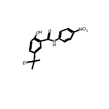 CCC(C)(C)c1ccc(O)c(C(=O)Nc2ccc([N+](=O)[O-])cc2)c1